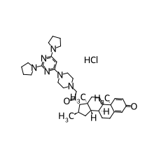 C[C@@H]1C[C@H]2[C@@H]3CCC4=CC(=O)C=C[C@]4(C)C3=CC[C@]2(C)[C@H]1C(=O)CN1CCN(c2cc(N3CCCC3)nc(N3CCCC3)n2)CC1.Cl